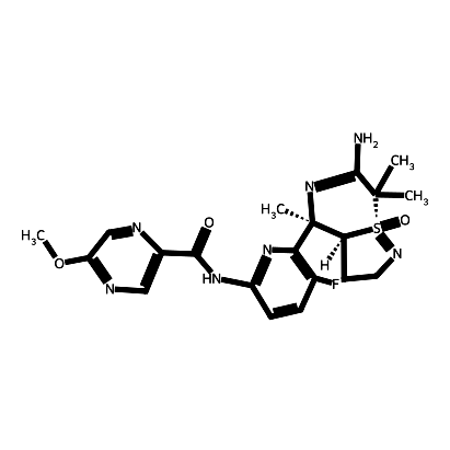 COc1cnc(C(=O)Nc2ccc(F)c([C@@]3(C)N=C(N)C(C)(C)[S@]4(=O)=NCC[C@@H]34)n2)cn1